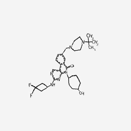 CC(C)(C)N1CCN(Cc2ccc3c(c2)c(=O)n(C2CCC(O)CC2)c2nc(NC4CC(F)(F)C4)ncc32)CC1